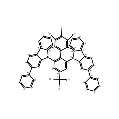 Fc1c(F)c(F)c(-c2c(-n3c4ccccc4c4ccc(-c5ccccc5)cc43)cc(C(F)(F)F)cc2-n2c3ccccc3c3ccc(-c4ccccc4)cc32)c(F)c1F